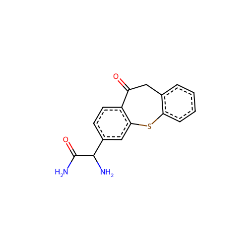 NC(=O)C(N)c1ccc2c(c1)Sc1ccccc1CC2=O